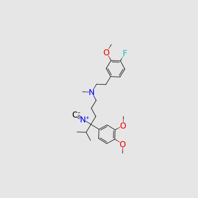 [C-]#[N+]C(CCCN(C)CCc1ccc(F)c(OC)c1)(c1ccc(OC)c(OC)c1)C(C)C